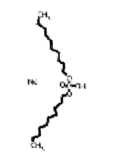 CCCCCCCCCCOP(=O)(O)OCCCCCCCCCC.[Nd]